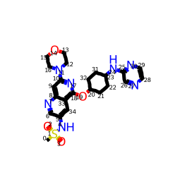 CS(=O)(=O)Nc1cnc2cc(N3CCOCC3)nc(OC3CCC(Nc4cnccn4)CC3)c2c1